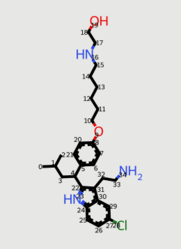 CC(C)CC(c1ccc(OCCCCCCNCCO)cc1)c1[nH]c2ccc(Cl)cc2c1CCN